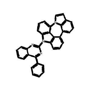 c1ccc(-c2nc(-n3c4cccc5c6cccc7ccn(c8cccc3c8c54)c76)nc3ccccc23)cc1